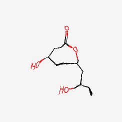 C[C@@H](O)CC1C[C@@H](O)CC(=O)O1